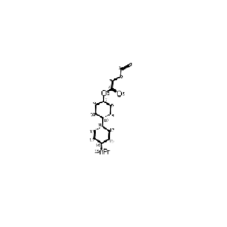 C=CCCC(=O)O[C@H]1CC[C@H]([C@H]2CC[C@H](CCC)CC2)CC1